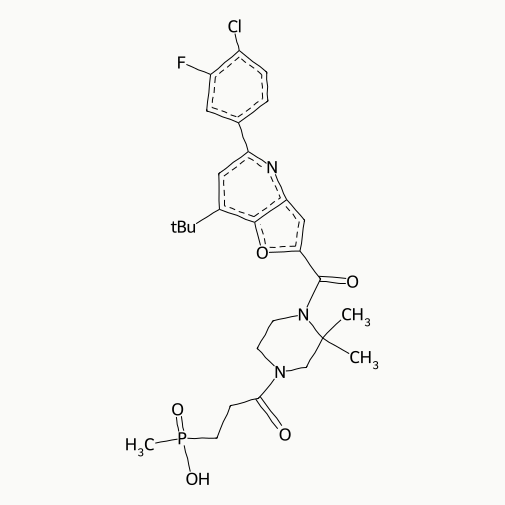 CC(C)(C)c1cc(-c2ccc(Cl)c(F)c2)nc2cc(C(=O)N3CCN(C(=O)CCP(C)(=O)O)CC3(C)C)oc12